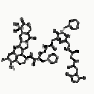 CC[C@@]1(O)C(=O)OCc2c1cc1n(c2=O)Cc2c-1nc1cc(F)c(C)c3c1c2[C@@H](NC(=O)[C@H](Cc1ccccc1)OCNC(=O)CNC(=O)[C@H](Cc1ccccc1)NC(=O)CNC(=O)CNC(=O)CN1C(=O)C=CC1=O)CC3